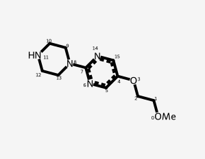 COCCOc1cnc(N2CCNCC2)nc1